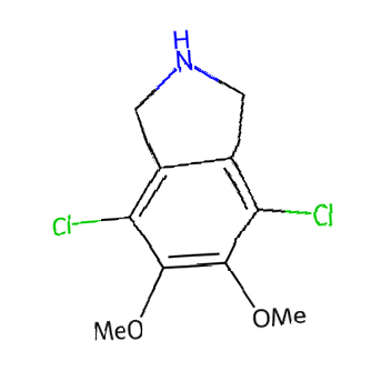 COc1c(Cl)c2c(c(Cl)c1OC)CNC2